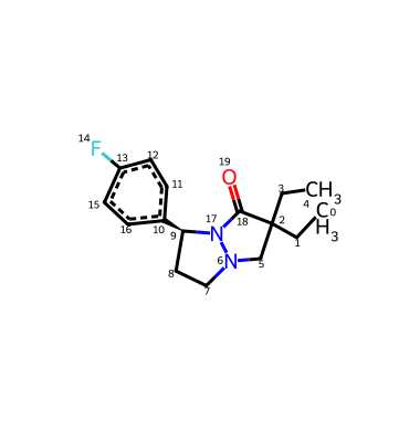 CCC1(CC)CN2CC[C@@H](c3ccc(F)cc3)N2C1=O